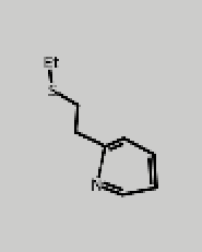 [CH2]CSCCc1ccccn1